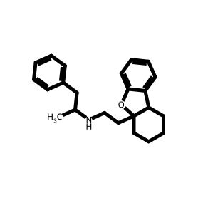 CC(Cc1ccccc1)NCCC12CCCCC1c1ccccc1O2